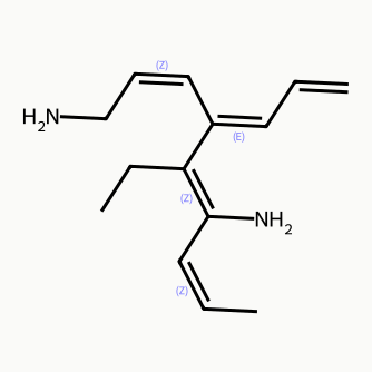 C=C/C=C(\C=C/CN)C(/CC)=C(N)/C=C\C